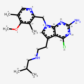 COc1c(C)cnc(Cn2cc(CCNCC(C)C)c3c(Cl)nc(N)nc32)c1C